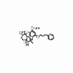 COc1cc(OCCCc2ccccc2)c2c3c1O[C@H]1C(=O)CC[C@H]4[C@@H](C2)N(C)CC[C@]314